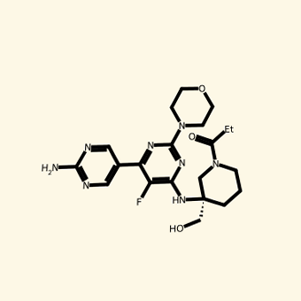 CCC(=O)N1CCC[C@@](CO)(Nc2nc(N3CCOCC3)nc(-c3cnc(N)nc3)c2F)C1